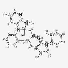 Cc1cnc2c(n1)N(c1ccccc1C)C(C)(Cc1ncc3c(n1)N(c1ccccc1C)C(C)N3C)N2C